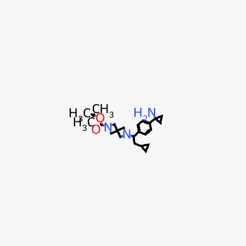 CC(C)(C)OC(=O)N1CC2(C1)CN(C(CC1CC1)c1ccc(C3(N)CC3)cc1)C2